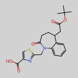 CC(C)(C)OC(=O)CC1CCC(=O)N(Cc2nc(C(=O)O)cs2)c2ccccc21